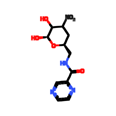 O=C(NC[C@@H]1CC([N+](=O)[O-])C(O)[C@H](O)O1)c1cnccn1